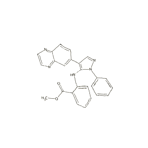 COC(=O)c1ccccc1Nc1c(-c2ccc3nccnc3c2)cnn1-c1ccccc1